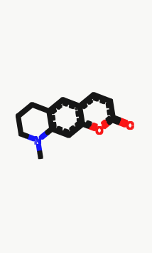 CN1CCCc2cc3ccc(=O)oc3cc21